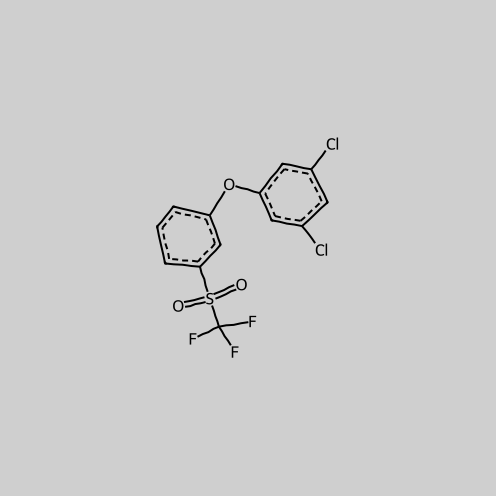 O=S(=O)(c1cccc(Oc2cc(Cl)cc(Cl)c2)c1)C(F)(F)F